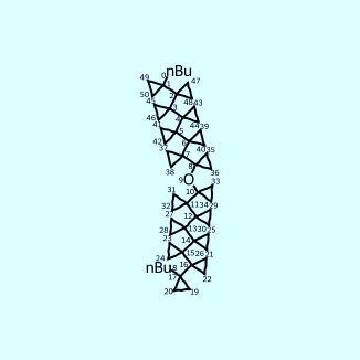 CCCCC1(C2(C3(C4(C5(C6(C7(C8(OC9(C%10(C%11(C%12(C%13(C%14(C%15(C%16(CCCC)CC%16)CC%15)CC%14)CC%13)CC%12)CC%11)CC%10)CC9)CC8)CC7)CC6)CC5)CC4)CC3)CC2)CC1